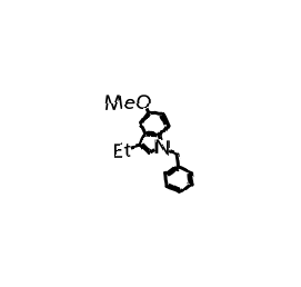 CCc1cn(Cc2ccccc2)c2ccc(OC)cc12